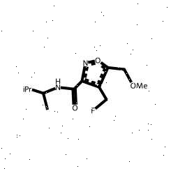 COCc1onc(C(=O)NC(C)C(C)C)c1CF